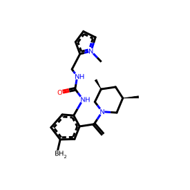 Bc1ccc(NC(=O)NCc2cccn2C)c(C(=C)N2C[C@H](C)C[C@H](C)C2)c1